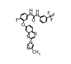 Cc1cn(-c2cnc3ccc(Oc4cc(NC(=O)Nc5cccc(C(F)(F)F)c5)ccc4F)cc3n2)cn1